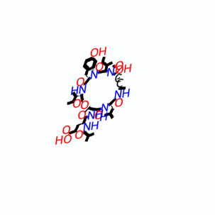 CCC(C)C1C(=O)N(C)[C@@H](Cc2ccc(O)cc2)C(=O)N[C@@H](C(C)CC)C(=O)O[C@H](C)[C@H](NC(=O)[C@H](CCC(=O)O)NC(=O)C(C)C)C(=O)N[C@@H](CC(C)C)C(=O)NC(C)CC[C@H](O)N1C=O